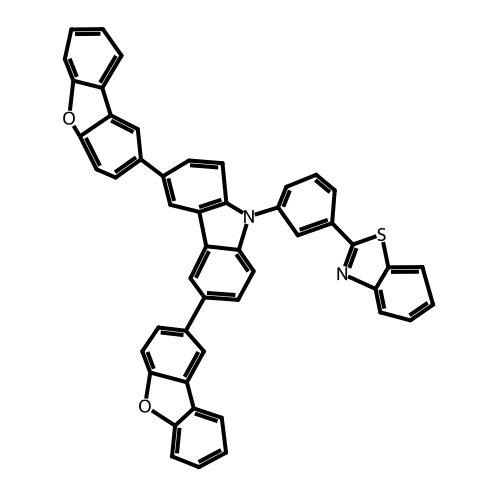 c1cc(-c2nc3ccccc3s2)cc(-n2c3ccc(-c4ccc5oc6ccccc6c5c4)cc3c3cc(-c4ccc5oc6ccccc6c5c4)ccc32)c1